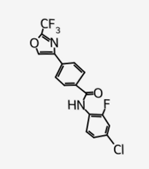 O=C(Nc1ccc(Cl)cc1F)c1ccc(-c2coc(C(F)(F)F)n2)cc1